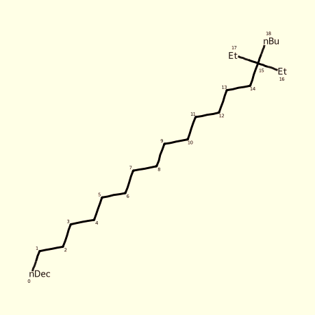 CCCCCCCCCCCCCCCCCCCCCCCCC(CC)(CC)CCCC